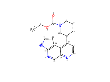 O=C(OCC(F)(F)F)N1CCCC(c2ccnc3cnc4[nH]ccc4c23)C1